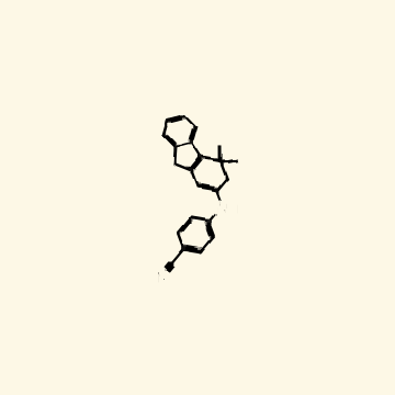 CC1(C)CC(Nc2ccc(C#N)cc2)=CC2=C1c1ccccc1C2